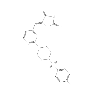 O=C1NC(=O)C(=Cc2ccnc(N3CCN(S(=O)(=O)c4ccc(F)cc4)CC3)n2)S1